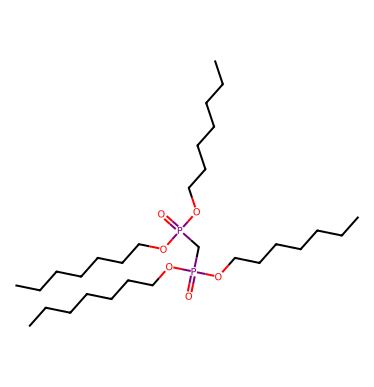 CCCCCCCOP(=O)(CP(=O)(OCCCCCCC)OCCCCCCC)OCCCCCCC